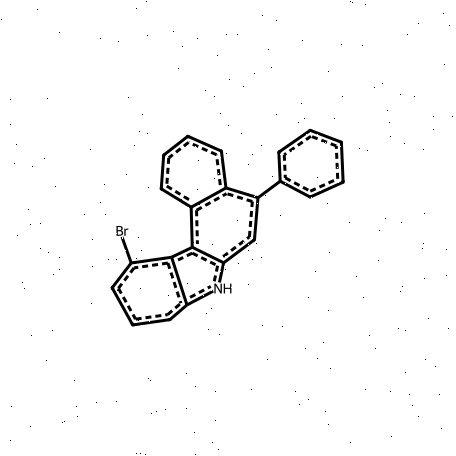 Brc1cccc2[nH]c3cc(-c4ccccc4)c4ccccc4c3c12